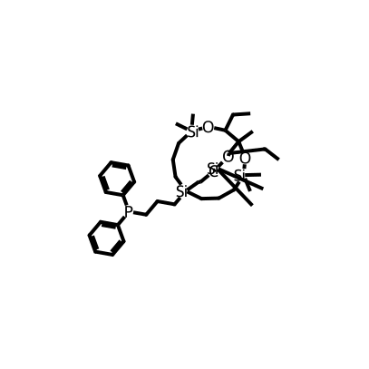 CCC1O[Si](C)(C)CCC[Si]2(CCCP(c3ccccc3)c3ccccc3)CCC[Si](C)(C)OC(CC)C1(C)O[Si](C)(C)CCC2